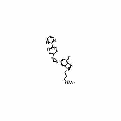 COCCCn1cnc2c(F)cc([C@@H]3C[C@H]3c3cnc(-c4ncccn4)nc3)cc21